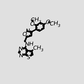 COc1ccc(-c2cc(CNc3ncnc4scc(C)c34)on2)c(OC)c1